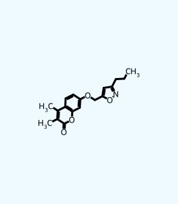 CCCc1cc(COc2ccc3c(C)c(C)c(=O)oc3c2)on1